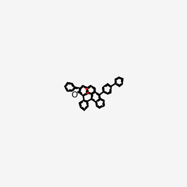 c1ccc(-c2ccc(-c3c4ccccc4c(-c4ccccc4-c4cccc5c4oc4ccccc45)c4ccccc34)cc2)cc1